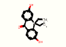 CC[Si]1(CC)c2cc(O)ccc2C(=O)c2ccc(O)cc21